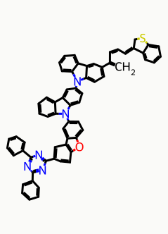 C=C(/C=C\C=C1/CSc2ccccc21)c1ccc2c(c1)c1ccccc1n2-c1ccc2c(c1)c1ccccc1n2-c1ccc2oc3ccc(-c4nc(-c5ccccc5)nc(-c5ccccc5)n4)cc3c2c1